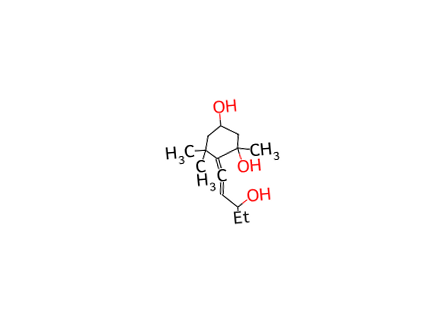 CCC(O)C=C=C1C(C)(C)CC(O)CC1(C)O